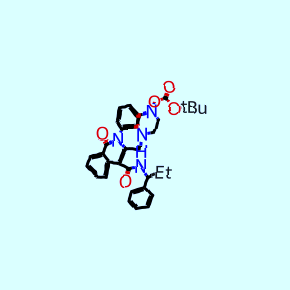 CCC(NC(=O)c1c(CN2CCN(OC(=O)OC(C)(C)C)CC2)n(-c2ccccc2)c(=O)c2ccccc12)c1ccccc1